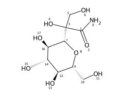 NC(=O)C(O)(CO)[C@@H]1O[C@H](CO)[C@@H](O)[C@H](O)[C@H]1O